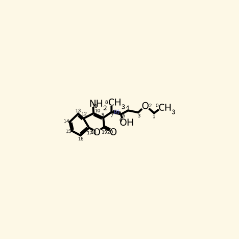 CCOCC/C(O)=C(\C)c1c(N)c2ccccc2oc1=O